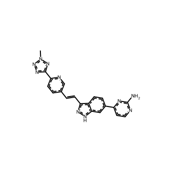 Cn1nnc(-c2ccc(C=Cc3n[nH]c4cc(-c5ccnc(N)n5)ccc34)cn2)n1